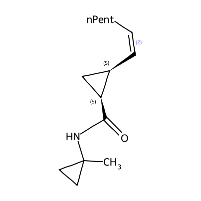 CCCCC/C=C\[C@@H]1C[C@@H]1C(=O)NC1(C)CC1